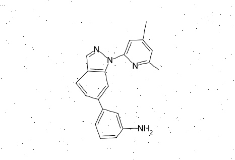 Cc1cc(C)nc(-n2ncc3ccc(-c4cccc(N)c4)cc32)c1